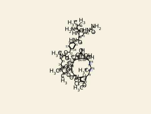 COc1cc2cc(c1Cl)N(C)C(=O)C[C@H](OC(=O)[C@H](C)N(C)C(=O)CCCN(C)C(=O)OCc1ccc(NC(=O)[C@H](CCCNC(N)=O)NC(=O)[C@@H](N)C(C)C)cc1)[C@]1(C)OC1[C@H](C)[C@@H]1C[C@@](O)(NC(=O)O1)[C@H](O)/C=C/C=C(\C)C2